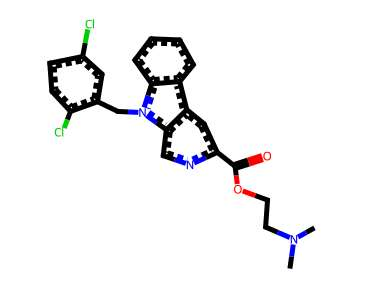 CN(C)CCOC(=O)c1cc2c3ccccc3n(Cc3cc(Cl)ccc3Cl)c2cn1